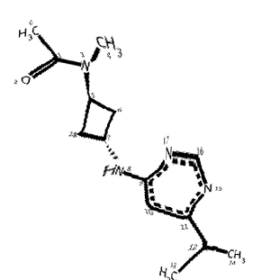 CC(=O)N(C)[C@H]1C[C@H](Nc2cc(C(C)C)ncn2)C1